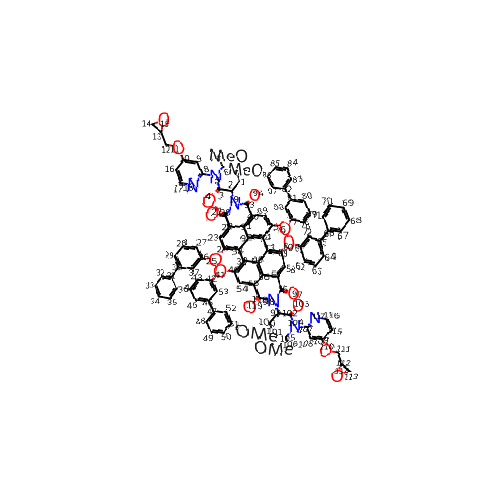 COCC(C(=O)N(COC)c1cc(OCC2CO2)ccn1)N1C(=O)c2cc(Oc3cccc(-c4ccccc4)c3)c3c4c(Oc5cccc(-c6ccccc6)c5)cc5c6c(cc(Oc7cccc(-c8ccccc8)c7)c(c7c(Oc8cccc(-c9ccccc9)c8)cc(c2c37)C1=O)c64)C(=O)N(C(COC)C(=O)N(COC)c1cc(OCC2CO2)ccn1)C5=O